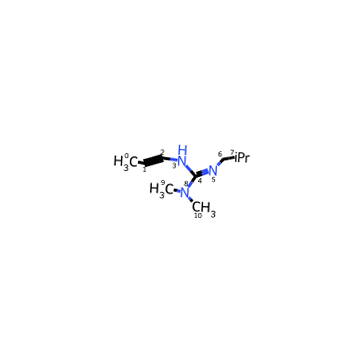 CC#CN/C(=N\CC(C)C)N(C)C